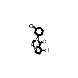 O=c1c2c(Cl)ccn2ncn1-c1cccc(Cl)c1